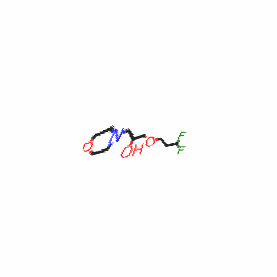 OC(COCCC(F)F)CN1CCOCC1